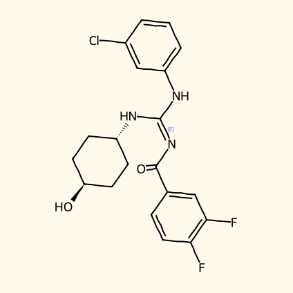 O=C(/N=C(/Nc1cccc(Cl)c1)N[C@H]1CC[C@H](O)CC1)c1ccc(F)c(F)c1